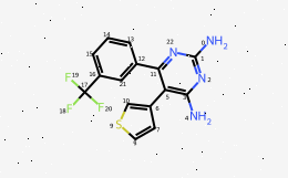 Nc1nc(N)c(-c2ccsc2)c(-c2cccc(C(F)(F)F)c2)n1